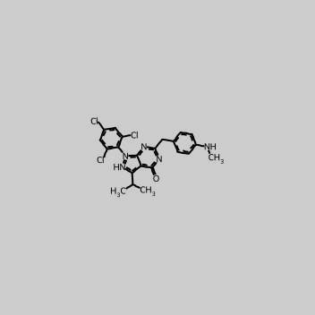 CNc1ccc(Cc2nc3n(-c4c(Cl)cc(Cl)cc4Cl)[nH]c(C(C)C)c-3c(=O)n2)cc1